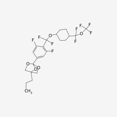 CCCC12COC(c3cc(F)c(C(F)(F)OC4CCC(C(F)(F)OC(F)(F)F)CC4)c(F)c3)(OC1)O2